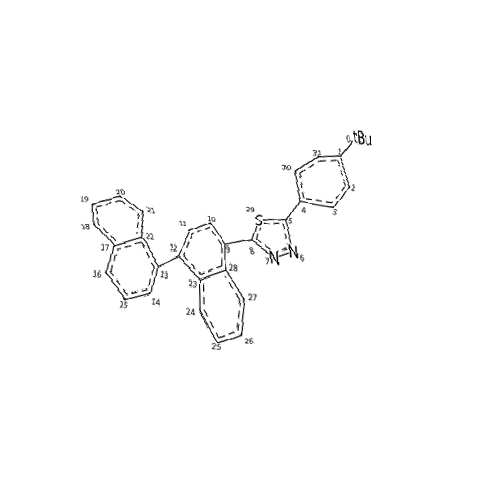 CC(C)(C)c1ccc(-c2nnc(-c3ccc(-c4cccc5ccccc45)c4ccccc34)s2)cc1